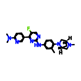 Cc1cc(Nc2ncc(F)c(-c3ccc(N(C)C)nc3)n2)ccc1N1C[C@@H]2C[C@H]1CN2C